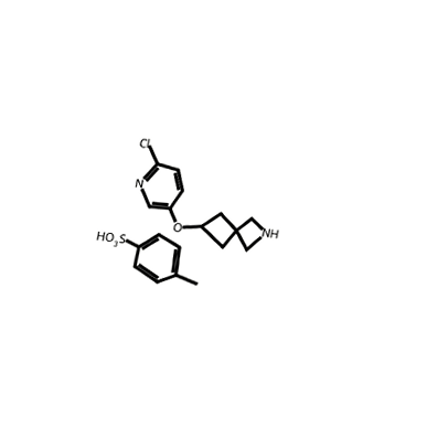 Cc1ccc(S(=O)(=O)O)cc1.Clc1ccc(OC2CC3(CNC3)C2)cn1